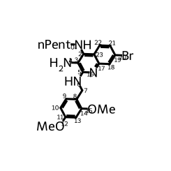 CCCCCNc1c(N)c(NCc2ccc(OC)cc2OC)nc2cc(Br)ccc12